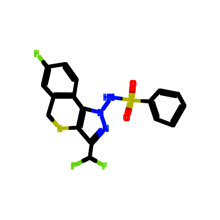 O=S(=O)(Nn1nc(C(F)F)c2c1-c1ccc(F)cc1CS2)c1ccccc1